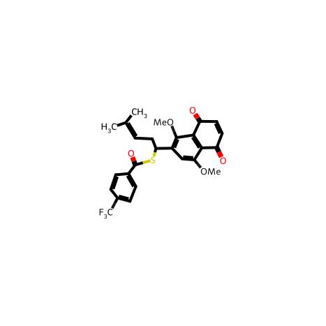 COc1cc(C(CC=C(C)C)SC(=O)c2ccc(C(F)(F)F)cc2)c(OC)c2c1C(=O)C=CC2=O